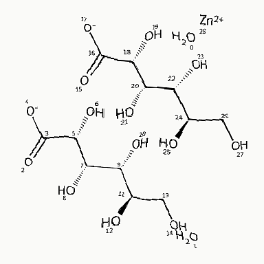 O.O.O=C([O-])[C@H](O)[C@@H](O)[C@H](O)[C@H](O)CO.O=C([O-])[C@H](O)[C@@H](O)[C@H](O)[C@H](O)CO.[Zn+2]